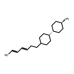 CCC[C@H]1CC[C@H](C2CCC(CCC=CC=CC#N)CC2)CC1